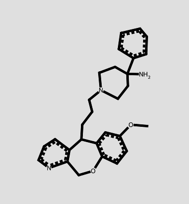 COc1ccc2c(c1)C(CCCN1CCC(N)(c3ccccc3)CC1)c1cccnc1CO2